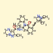 Cc1nn2cccnc2c1C(=O)N[C@@H](C)c1cc2cccc(C#Cc3cnn(C)c3C(F)(F)F)c2c(=O)n1-c1ccccc1